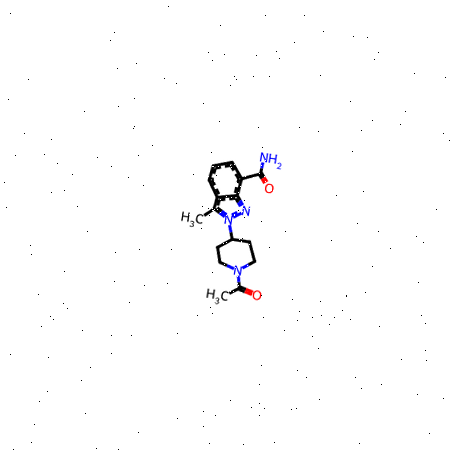 CC(=O)N1CCC(n2nc3c(C(N)=O)cccc3c2C)CC1